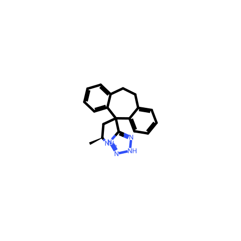 C[C@H](N)CC1(c2nn[nH]n2)c2ccccc2CCc2ccccc21